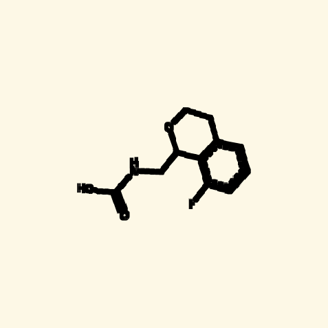 O=C(O)NCC1OCCc2cccc(F)c21